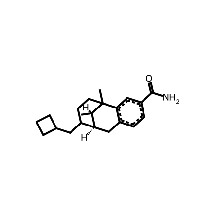 C[C@H]1[C@H]2Cc3ccc(C(N)=O)cc3C1(C)CCC2CC1CCC1